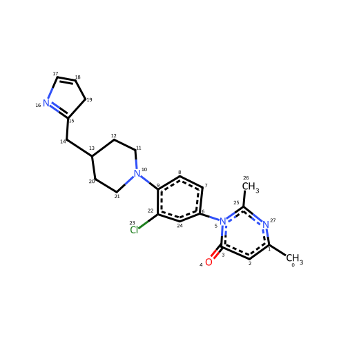 Cc1cc(=O)n(-c2ccc(N3CCC(CC4=NC=CC4)CC3)c(Cl)c2)c(C)n1